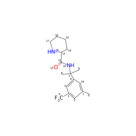 Cc1cc(C(F)(F)F)cc(C(C)(C)NC(=O)C2CCCCN2)c1